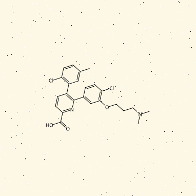 Cc1ccc(Cl)c(-c2ccc(C(=O)O)nc2-c2ccc(Cl)c(OCCCN(C)C)c2)c1